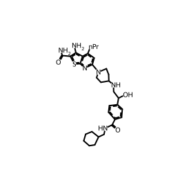 CCCc1cc(N2CCC(NCC(O)c3ccc(C(=O)NCC4CCCCC4)cc3)CC2)nc2sc(C(N)=O)c(N)c12